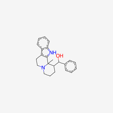 CC12c3[nH]c4ccccc4c3CCN1CCCC2C(O)c1ccccc1